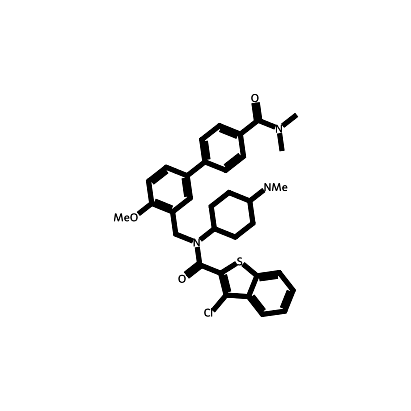 CNC1CCC(N(Cc2cc(-c3ccc(C(=O)N(C)C)cc3)ccc2OC)C(=O)c2sc3ccccc3c2Cl)CC1